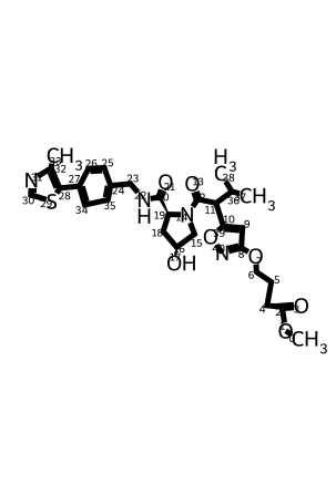 COC(=O)CCCOc1cc(C(C(=O)N2C[C@H](O)C[C@H]2C(=O)NCc2ccc(-c3scnc3C)cc2)C(C)C)on1